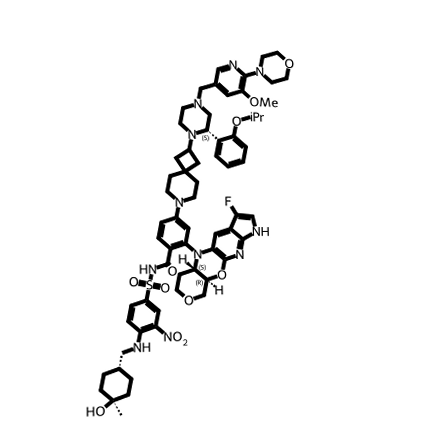 COc1cc(CN2CCN(C3CC4(CCN(c5ccc(C(=O)NS(=O)(=O)c6ccc(NC[C@H]7CC[C@](C)(O)CC7)c([N+](=O)[O-])c6)c(N6c7cc8c(F)c[nH]c8nc7O[C@H]7COCC[C@@H]76)c5)CC4)C3)[C@@H](c3ccccc3OC(C)C)C2)cnc1N1CCOCC1